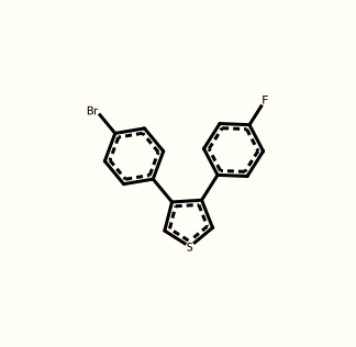 Fc1ccc(-c2cscc2-c2ccc(Br)cc2)cc1